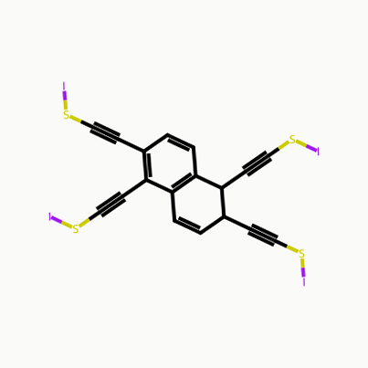 ISC#Cc1ccc2c(c1C#CSI)C=CC(C#CSI)C2C#CSI